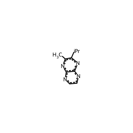 Cc1nc2nccnc2nc1C(C)C